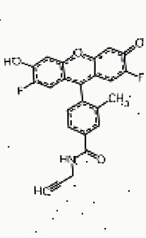 C#CCNC(=O)c1ccc(-c2c3cc(F)c(=O)cc-3oc3cc(O)c(F)cc23)c(C)c1